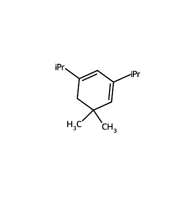 CC(C)C1=CC(C)(C)CC(C(C)C)=C1